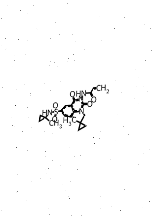 C=CC(=O)Nn1c(=O)c2cc(S(=O)(=O)NC3(C)CC3)ccc2n(CC2(C)CC2)c1=O